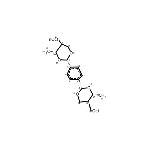 CCCCCCCC[C@H]1CO[C@H](c2ccc([C@H]3OC[C@H](CCCCCCCC)[C@@H](C)O3)cc2)O[C@@H]1C